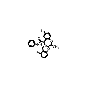 CC1Oc2ccc(Br)cc2C(C(=O)Nc2ccccc2)N(Cc2c(F)cccc2F)C1=O